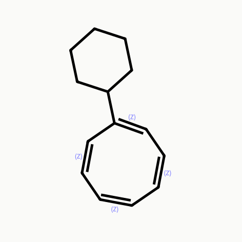 C1=C\C=C/C(C2CCCCC2)=C\C=C/1